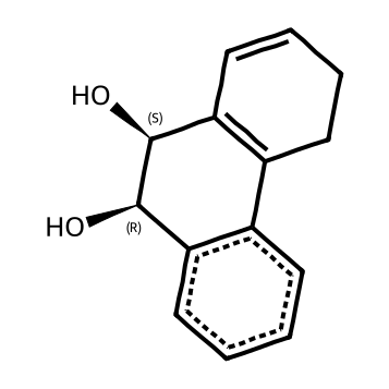 O[C@@H]1c2ccccc2C2=C(C=CCC2)[C@@H]1O